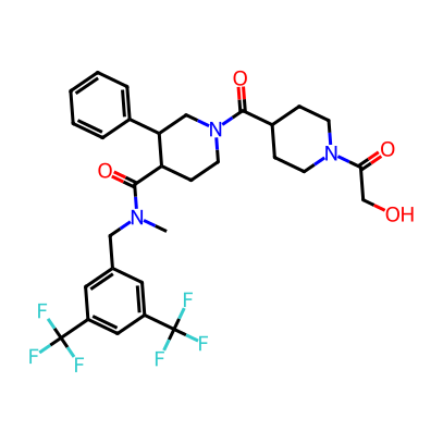 CN(Cc1cc(C(F)(F)F)cc(C(F)(F)F)c1)C(=O)C1CCN(C(=O)C2CCN(C(=O)CO)CC2)CC1c1ccccc1